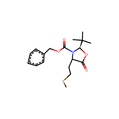 CSCCC1C(=O)O[C@H](C(C)(C)C)N1C(=O)OCc1ccccc1